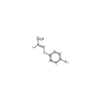 CC(=CCc1ccc(F)cc1)C(=O)O